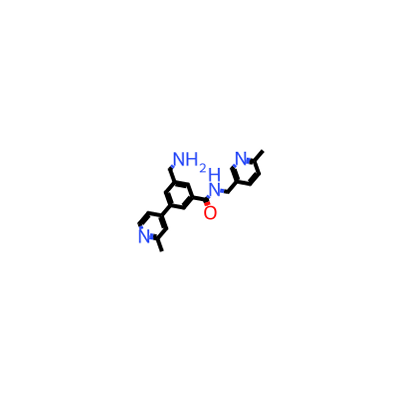 Cc1ccc(CNC(=O)c2cc(CN)cc(-c3ccnc(C)c3)c2)cn1